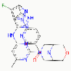 Cc1cc(Nc2cc(C)[nH]n2)nc(N2CC3COCC(C2)N3C(=O)c2ccc(-n3cc(F)cn3)nc2)n1